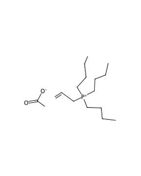 C=CC[P+](CCCC)(CCCC)CCCC.CC(=O)[O-]